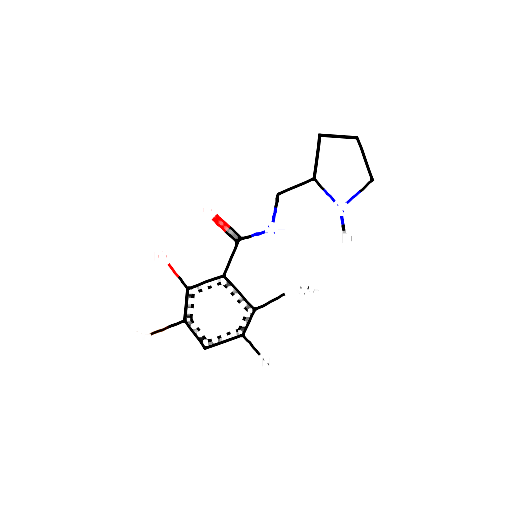 CCN1CCCC1CNC(=O)c1c(O)c(Br)cc([N+](=O)[O-])c1OC